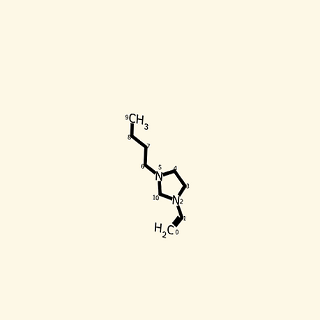 C=CN1CCN(CCCC)C1